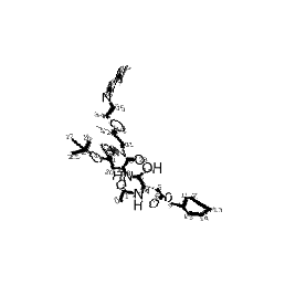 CC(=O)N[C@@H](CC(=O)OCc1ccccc1)C(O)N[C@@H](CC(=O)OC(C)(C)C)C(=O)NCCOCCN=[N+]=[N-]